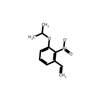 C=[C]c1cccc(OC(C)C)c1[N+](=O)[O-]